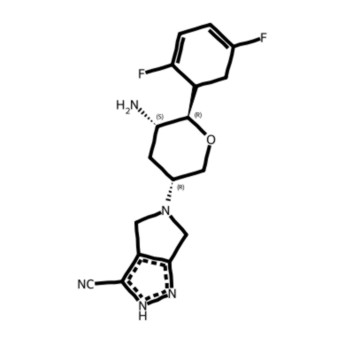 N#Cc1[nH]nc2c1CN([C@H]1CO[C@H](C3CC(F)=CC=C3F)[C@@H](N)C1)C2